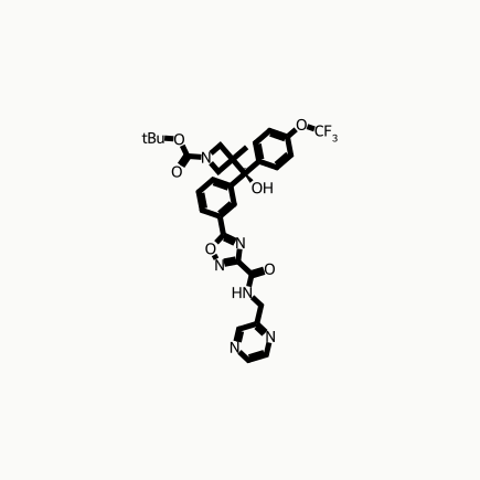 CC(C)(C)OC(=O)N1CC(C)([C@](O)(c2ccc(OC(F)(F)F)cc2)c2cccc(-c3nc(C(=O)NCc4cnccn4)no3)c2)C1